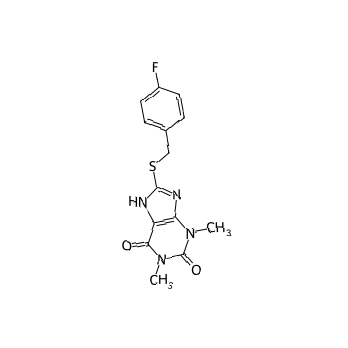 Cn1c(=O)c2[nH]c(SCc3ccc(F)cc3)nc2n(C)c1=O